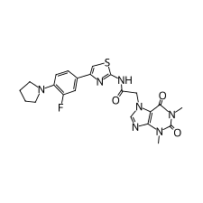 Cn1c(=O)c2c(ncn2CC(=O)Nc2nc(-c3ccc(N4CCCC4)c(F)c3)cs2)n(C)c1=O